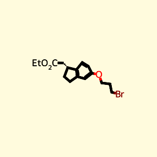 CCOC(=O)C[C@H]1CCc2cc(OCCCBr)ccc21